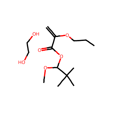 C=C(OCCC)C(=O)OC(OC)C(C)(C)C.OCCO